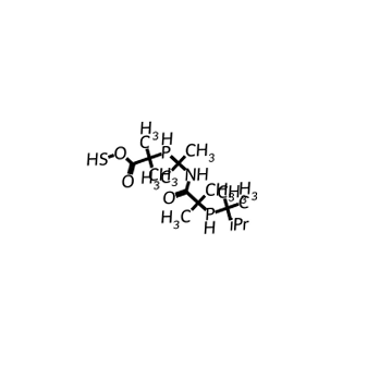 CC(C)C(C)(C)PC(C)(C)C(=O)NC(C)(C)PC(C)(C)C(=O)OS